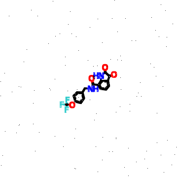 O=C1Nc2c(C(=O)NCc3ccc(OC(F)(F)F)cc3)cccc2C1=O